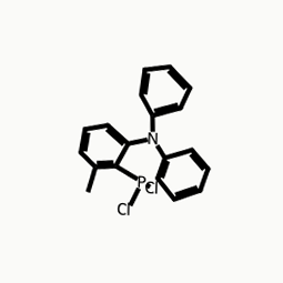 Cc1cccc(N(c2ccccc2)c2ccccc2)c1P(Cl)Cl